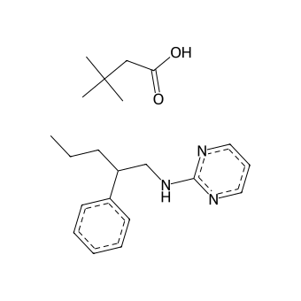 CC(C)(C)CC(=O)O.CCCC(CNc1ncccn1)c1ccccc1